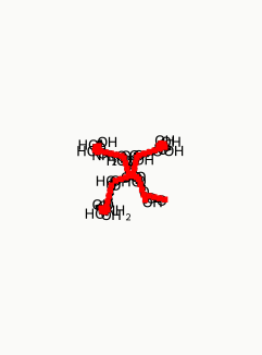 COCCCOCC(CO)COCCCOP(=O)(O)OCC(COCCCOP(=O)(O)OCCCCCCO[C@@H]1OC(CO)[C@H](O)[C@H](O)C1N)(COCCCOP(=O)(O)OCCCCCCO[C@@H]1OC(CO)[C@H](O)C(O)[C@@H]1C)COCCCOP(=O)(O)OCCCCCCO[C@@H]1OC(CO)[C@H](O)C(O)[C@@H]1N